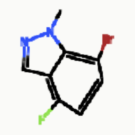 Cn1ncc2c(F)ccc(Br)c21